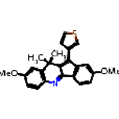 COc1ccc2c(c1)C(c1ccsc1)=C1C2=Nc2ccc(OC)cc2C1(C)C